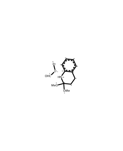 CCOC=O.COC1(OC)CCc2ccccc2N1